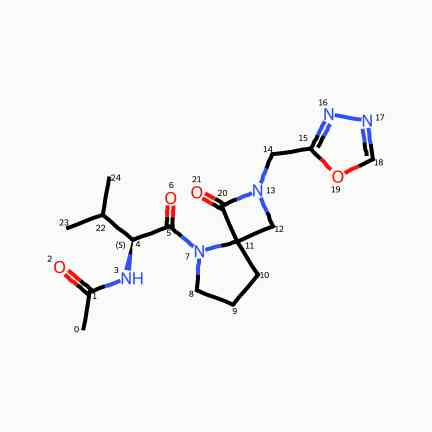 CC(=O)N[C@H](C(=O)N1CCCC12CN(Cc1nnco1)C2=O)C(C)C